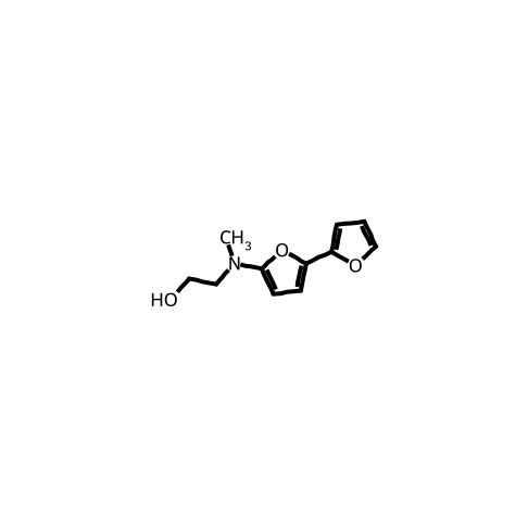 CN(CCO)c1ccc(-c2ccco2)o1